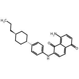 CCC[C@H]1CC[C@H](c2ccc(NC3=CC=C4C(=O)C=CC(N)=C4C3=O)cc2)CC1